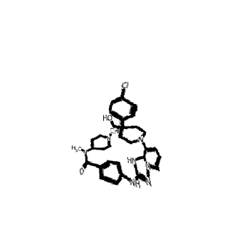 CN1CCC(N(C)C(=O)c2ccc(NC3=NN4C=CC=C(N5CCC(CO)(c6ccc(Cl)cc6)CC5)C4N3)cc2)CC1